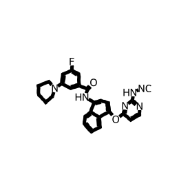 [C-]#[N+]Nc1nccc(Oc2ccc(NC(=O)c3cc(F)cc(N4CCCCC4)c3)c3ccccc23)n1